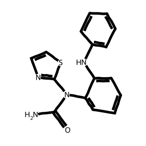 NC(=O)N(c1nccs1)c1ccccc1Nc1ccccc1